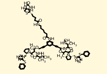 CN[C@@H](C)C(=O)N[C@H](C(=O)N1CCC[C@H]1Cn1nnnc1Sc1ccccc1)[C@@H](C)OCC#Cc1cc(C#CCOC(C)[C@H](NC(=O)[C@@H](C)NC)C(=O)N2CCC[C@H]2Cn2nnnc2Sc2ccccc2)cc(NC(=O)CCCCCNC(=O)CCCC[C@@H]2SC[C@@H]3NC(=O)N[C@@H]32)c1